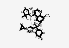 BC(Nc1cc(C#N)c2ncc(C#N)c(NC3CCCC3(C)C)c2c1)(c1ccc(F)cc1)c1cn(C2CC2)nn1